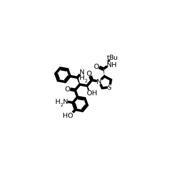 CC(C)(C)NC(=O)[C@@H]1CSCN1C(=O)[C@@H](O)[C@@H](C(=O)c1cccc(O)c1N)C(N)c1ccccc1